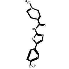 CN1CCC(C(=O)Nc2ncc(-c3ccc(C(=O)O)cc3)s2)CC1